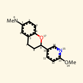 CNc1ccc2c(c1)CCC(c1ccc(OC)nc1)O2